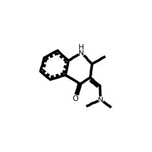 CC1Nc2ccccc2C(=O)C1=CN(C)C